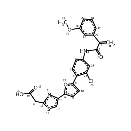 C=C(C(=O)Nc1ccc(-c2ccc(-c3csc(CC(=O)O)n3)o2)c(Cl)c1)c1cccc(OC)c1